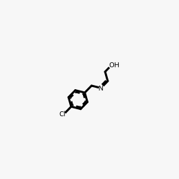 OC/C=N\Cc1ccc(Cl)cc1